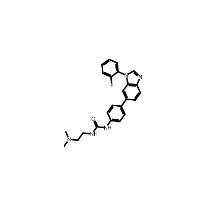 CN(C)CCNC(=O)Nc1ccc(-c2ccc3ncn(-c4ccccc4F)c3c2)cc1